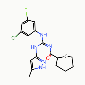 Cc1cc(N/C(=N\C(=O)C2CCCCC2)Nc2cc(F)cc(Cl)c2)n[nH]1